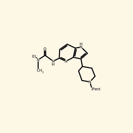 CCCC(C)N1CCC(c2c[nH]c3ccc(NC(=O)N(C)CC)nc23)CC1